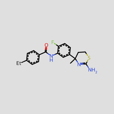 CCc1ccc(C(=O)Nc2cc(C3(C)CCSC(N)=N3)ccc2F)cc1